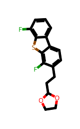 Fc1cccc2c1sc1c(F)c(CCC3OCCO3)ccc12